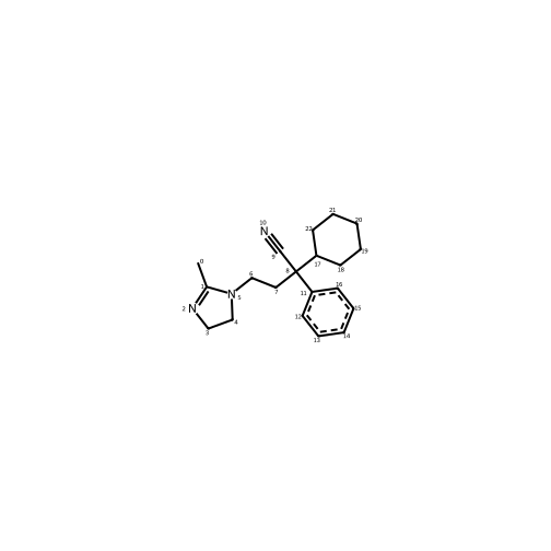 CC1=NCCN1CCC(C#N)(c1ccccc1)C1CCCCC1